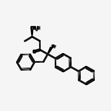 CC(C)[C@@](Cc1ccccc1)(C(=O)C[C@@H](C)C(=O)O)c1ccc(-c2ccccc2)cc1